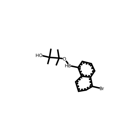 CC(C)(O)C(C)(C)OBc1cccc2c(Br)cccc12